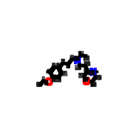 CCOc1ccc(CCCN(CC)CCC2COCC[N]2)cc1